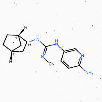 N#CN=C(Nc1ccc(N)nc1)N[C@@H]1C[C@@H]2CC[C@H]1C2